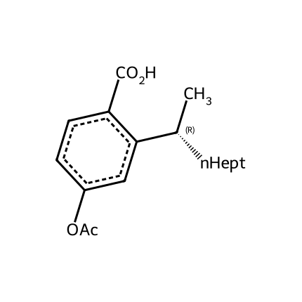 CCCCCCC[C@@H](C)c1cc(OC(C)=O)ccc1C(=O)O